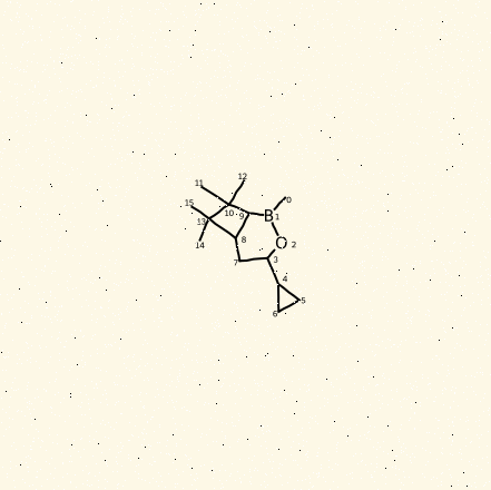 CB1OC(C2CC2)CC2C1C(C)(C)C2(C)C